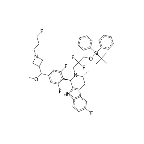 COC(c1cc(F)c([C@@H]2c3[nH]c4ccc(F)cc4c3C[C@@H](C)N2CC(F)(F)CO[Si](c2ccccc2)(c2ccccc2)C(C)(C)C)c(F)c1)C1CN(CCCF)C1